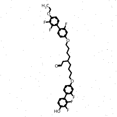 CCOc1ccc(-c2ccc(OCCCCC(CC=O)CCCCOc3ccc(-c4ccc(O)c(F)c4F)c(F)c3)cc2F)c(F)c1F